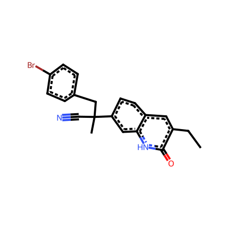 CCc1cc2ccc(C(C)(C#N)Cc3ccc(Br)cc3)cc2[nH]c1=O